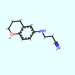 N#CCCNc1ccc2c(c1)CCCO2